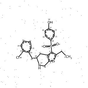 CCc1sc2c(c1S(=O)(=O)c1ccc(O)cc1)CC(Cc1ccccc1Cl)NC2